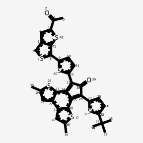 CC(=O)c1cc2csc(-c3ccc(C4=c5c(c6sc(C)cc6c6cc(C)sc56)=C(c5ccc(C(C)(C)C)s5)C4=O)s3)c2s1